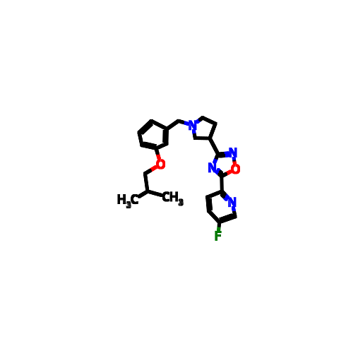 CC(C)COc1cccc(CN2CCC(c3noc(-c4ccc(F)cn4)n3)C2)c1